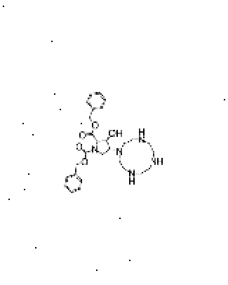 O=C(OCc1ccccc1)[C@H]1[C@@H](O)[C@H](N2CCNCCNCCNCC2)CN1C(=O)OCc1ccccc1